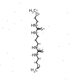 COCCNC(=S)NCCCNC(=S)NCCOC